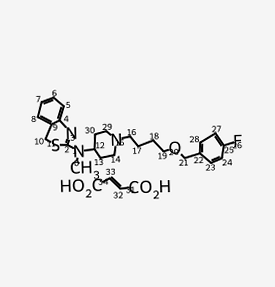 CN(C1=Nc2ccccc2CS1)C1CCN(CCCCOCc2ccc(F)cc2)CC1.O=C(O)/C=C/C(=O)O